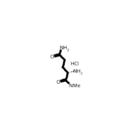 CNC(=O)[C@@H](N)CCC(N)=O.Cl